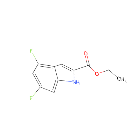 CCOC(=O)c1cc2c(F)cc(F)cc2[nH]1